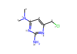 CN(C)c1cc(CCl)nc(N)n1